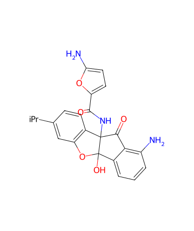 CC(C)c1ccc2c(c1)OC1(O)c3cccc(N)c3C(=O)C21NC(=O)c1ccc(N)o1